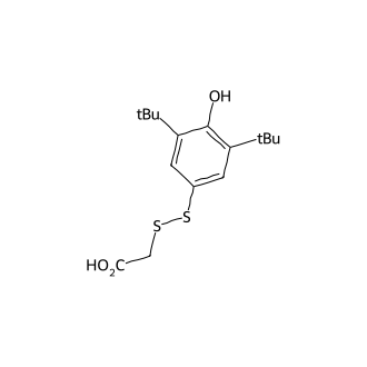 CC(C)(C)c1cc(SSCC(=O)O)cc(C(C)(C)C)c1O